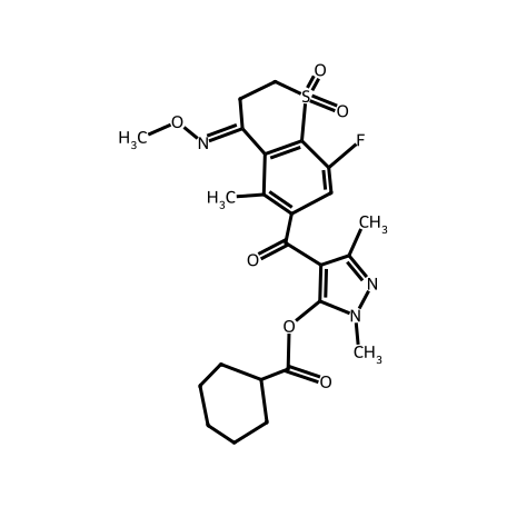 CON=C1CCS(=O)(=O)c2c(F)cc(C(=O)c3c(C)nn(C)c3OC(=O)C3CCCCC3)c(C)c21